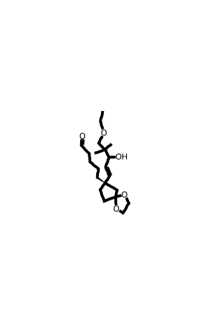 CCOCC(C)(C)C(O)C=C[C@@]1(CCCCC=O)CCC2(C1)OCCO2